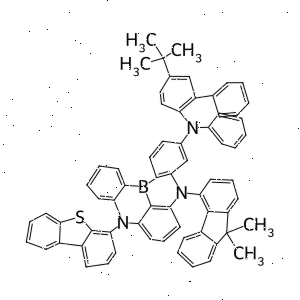 CC(C)(C)c1ccc(N(c2ccccc2)c2ccc3c(c2)N(c2cccc4c2-c2ccccc2C4(C)C)c2cccc4c2B3c2ccccc2N4c2cccc3c2sc2ccccc23)c(-c2ccccc2)c1